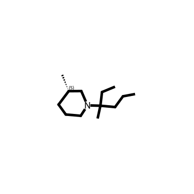 CCCC(C)(CC)N1CCC[C@H](C)C1